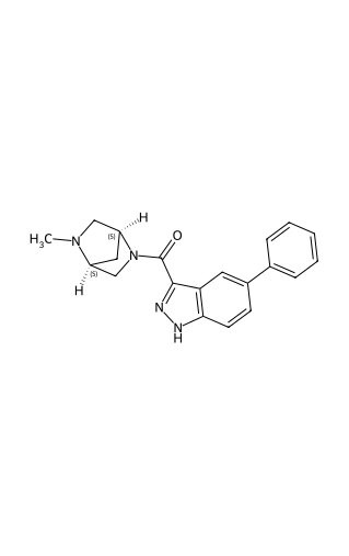 CN1C[C@@H]2C[C@H]1CN2C(=O)c1n[nH]c2ccc(-c3ccccc3)cc12